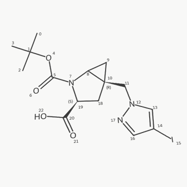 CC(C)(C)OC(=O)N1C2C[C@]2(Cn2cc(I)cn2)C[C@H]1C(=O)O